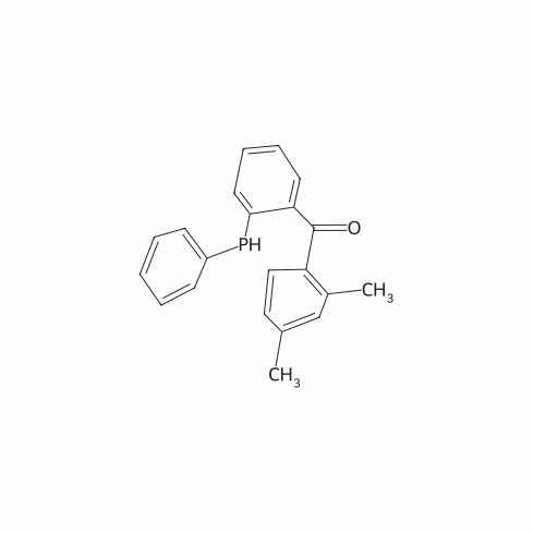 Cc1ccc(C(=O)c2ccccc2Pc2ccccc2)c(C)c1